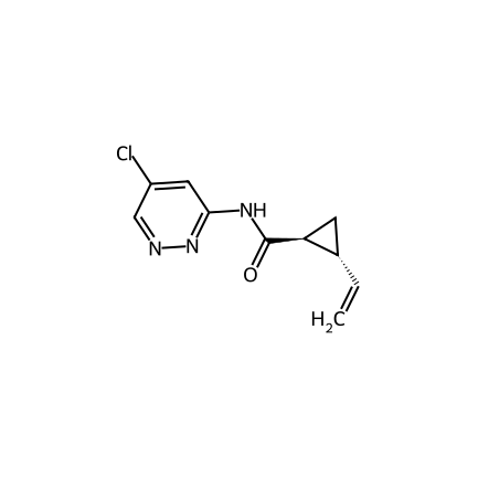 C=C[C@H]1C[C@@H]1C(=O)Nc1cc(Cl)cnn1